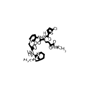 CNC(=O)C(=O)CC[C@H](NC(=O)c1ccc(Cl)s1)C(=O)Nc1cccn(CC(=O)NC2N(C)CC3CCCN2C3)c1=O